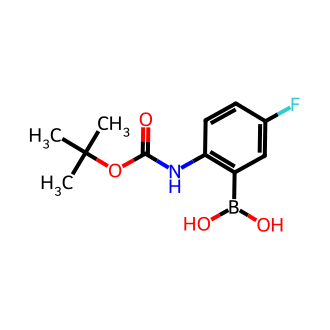 CC(C)(C)OC(=O)Nc1ccc(F)cc1B(O)O